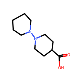 O=C(O)C1CCN(N2CCCCC2)CC1